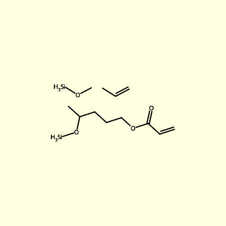 C=CC.C=CC(=O)OCCCC(C)O[SiH3].CO[SiH3]